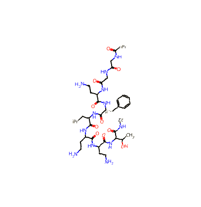 CCCC(=O)NCC(=O)NCC(=O)NC(CCN)C(=O)N[C@H](Cc1ccccc1)C(=O)NC(CC(C)C)C(=O)NC(CCN)C(=O)NC(CCN)C(=O)NC(C(=O)NCC)C(C)O